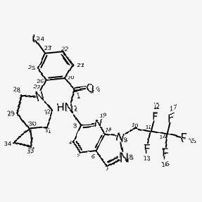 O=C(Nc1ccc2cnn(CC(F)(F)C(F)(F)F)c2n1)c1ccc(I)cc1N1CCC2(CC1)CC2